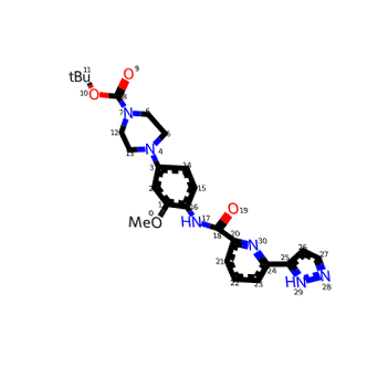 COc1cc(N2CCN(C(=O)OC(C)(C)C)CC2)ccc1NC(=O)c1cccc(-c2ccn[nH]2)n1